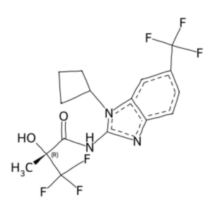 C[C@@](O)(C(=O)Nc1nc2ccc(C(F)(F)F)cc2n1C1CCC1)C(F)(F)F